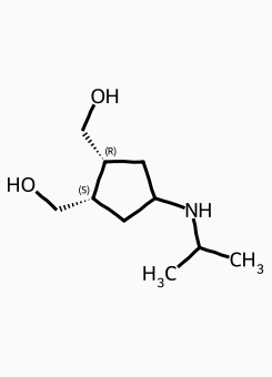 CC(C)NC1C[C@@H](CO)[C@@H](CO)C1